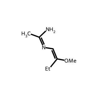 CCC(=C/N=C(/C)N)OC